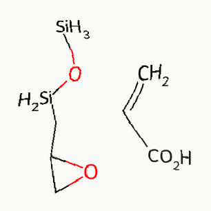 C=CC(=O)O.[SiH3]O[SiH2]C1CO1